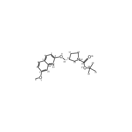 COc1ccc2ccc(OC[C@@H]3CCN(C(=O)OC(C)(C)C)C3)nc2c1